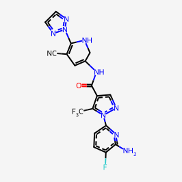 N#CC1=C(n2nccn2)NCC(NC(=O)c2cnn(-c3ccc(F)c(N)n3)c2C(F)(F)F)=C1